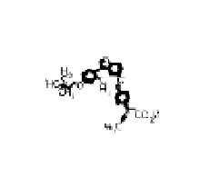 CC#C[C@@H](CC(=O)O)c1ccc(COc2ccc3scc(-c4ccc(OCCC(C)(C)O)cc4C)c3c2)cc1